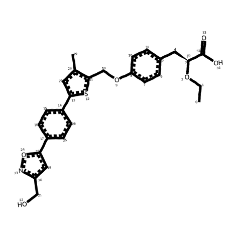 CCO[C@@H](Cc1ccc(OCc2sc(-c3ccc(-c4cc(CO)no4)cc3)cc2C)cc1)C(=O)O